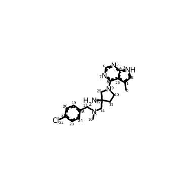 Cc1c[nH]c2ncnc(N3CCC(N)(CN(C)Cc4ccc(Cl)cc4)C3)c12